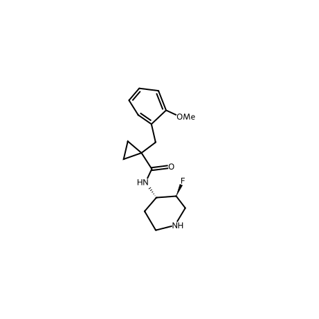 COc1ccccc1CC1(C(=O)N[C@H]2CCNC[C@@H]2F)CC1